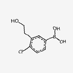 OCCc1cc(B(O)O)ccc1Cl